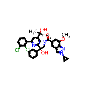 COc1cc(C(=O)NC[C@@](O)(c2ccccc2)c2cc(C(C)(C)O)cc(-c3cccc(Cl)c3Cl)n2)cc2cn(C3CC3)nc12